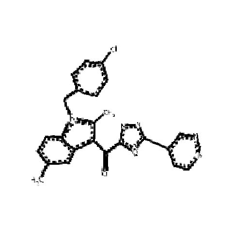 Cc1ccc2c(c1)c(C(=O)c1nnc(-c3ccnnc3)o1)c(C)n2Cc1ccc(Cl)cc1